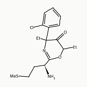 CCC1OC([C@@H](N)CCSC)=NC(CC)(c2ccccc2Cl)C1=O